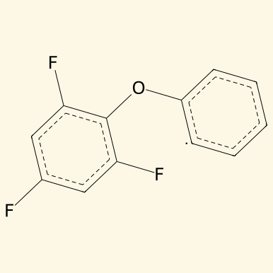 Fc1cc(F)c(Oc2[c]cccc2)c(F)c1